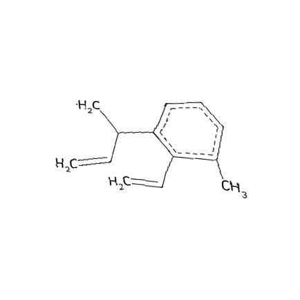 [CH2]C(C=C)c1cccc(C)c1C=C